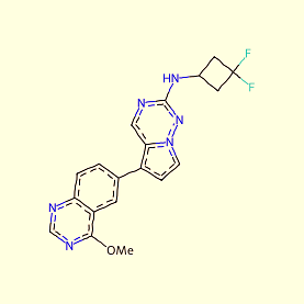 COc1ncnc2ccc(-c3ccn4nc(NC5CC(F)(F)C5)ncc34)cc12